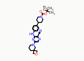 CC(C)(C)OC(=O)N1CCC(c2ccc(Nc3nc(N4CCCC5(COC5)C4)cnc3C#N)cc2)CC1